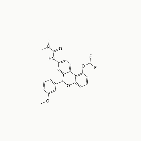 COc1cccc(C2Oc3cccc(OC(F)F)c3-c3ccc(NC(=O)N(C)C)cc32)c1